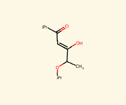 CC(C)OC(C)/C(O)=C/C(=O)C(C)C